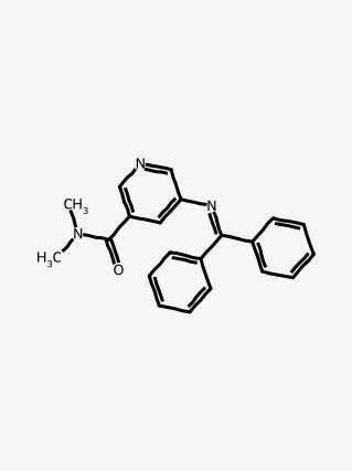 CN(C)C(=O)c1cncc(N=C(c2ccccc2)c2ccccc2)c1